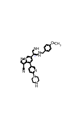 COc1ccc(CN/C=C(\C=N)c2cc(-c3ccc(N4CCNCC4)nc3)c3c(C#N)cnn3c2)cc1